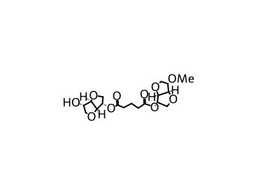 CO[C@H]1CO[C@H]2[C@@H]1OC[C@@H]2OC(=O)CCCC(=O)O[C@H]1CO[C@H]2[C@@H]1OC[C@@H]2O